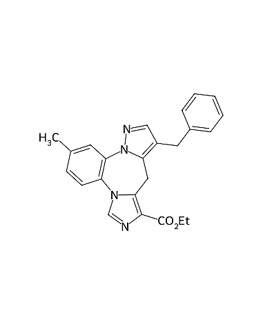 CCOC(=O)c1ncn2c1Cc1c(Cc3ccccc3)cnn1-c1cc(C)ccc1-2